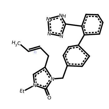 C/C=C/Cc1cn(CC)c(=O)n1Cc1ccc(-c2ccccc2-c2nnn[nH]2)cc1